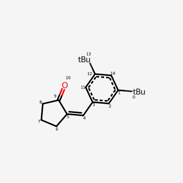 CC(C)(C)c1cc(C=C2CCCC2=O)cc(C(C)(C)C)c1